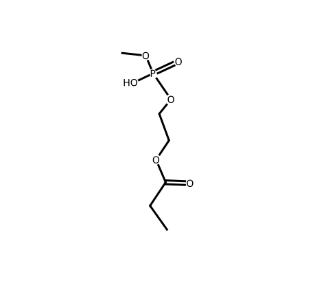 CCC(=O)OCCOP(=O)(O)OC